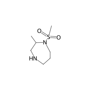 CC1CNCCCN1S(C)(=O)=O